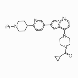 CC(C)N1CCC(c2ccc(-c3cc4c(N5CCN(C(=O)C6CC6)CC5)ccnn4c3)cn2)CC1